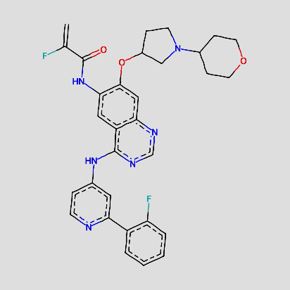 C=C(F)C(=O)Nc1cc2c(Nc3ccnc(-c4ccccc4F)c3)ncnc2cc1OC1CCN(C2CCOCC2)C1